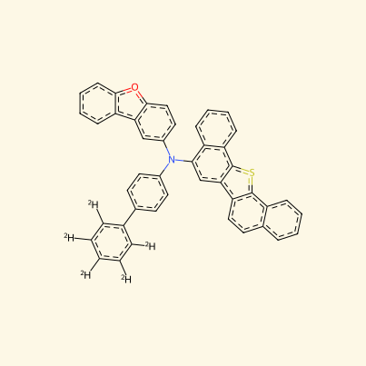 [2H]c1c([2H])c([2H])c(-c2ccc(N(c3ccc4oc5ccccc5c4c3)c3cc4c5ccc6ccccc6c5sc4c4ccccc34)cc2)c([2H])c1[2H]